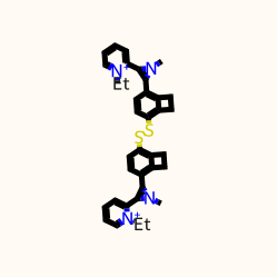 CC[n+]1ccccc1C1=C(c2ccc(SSc3ccc(C4=C(c5cccc[n+]5CC)N4C)c4c3CC4)c3c2CC3)N1C